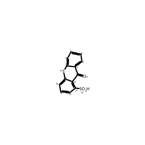 O=c1c2ccccc2sc2cccc(S(=O)(=O)O)c12